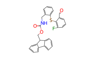 O=Cc1cccc(F)c1Sc1ccccc1CNC(=O)OCC1c2ccccc2-c2ccccc21